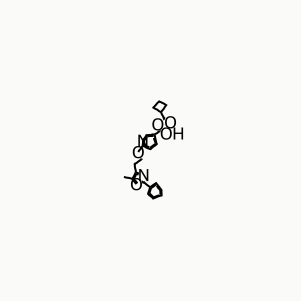 Cc1oc(-c2ccccc2)nc1CCOc1ccc(C(O)OC(=O)C2CCC2)cn1